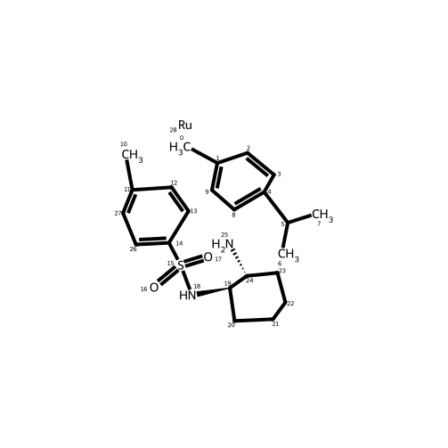 Cc1ccc(C(C)C)cc1.Cc1ccc(S(=O)(=O)N[C@@H]2CCCC[C@H]2N)cc1.[Ru]